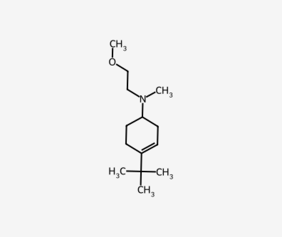 COCCN(C)C1CC=C(C(C)(C)C)CC1